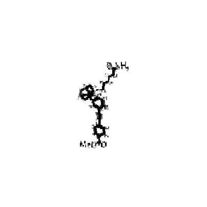 COC(=O)c1ccc(C#Cc2ccc(OCCCCCC(N)=O)c(C34CC5CC(CC(C5)C3)C4)c2)cc1